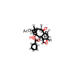 CC(=O)O[C@H]1C[C@@]2(O)[C@@H](OC(=O)c3ccccc3)[C@@H]3[C@]4(OC(C)=O)CO[C@@H]4C[C@H](C)[C@@]3(C)C(=O)[C@H](C)C(=C1C)C2(C)C